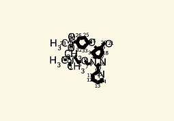 C[Si](C)(C)CCOCn1c(-c2ccccn2)nc2cc(C=O)c(Oc3ccc(S(C)(=O)=O)cc3)cc21